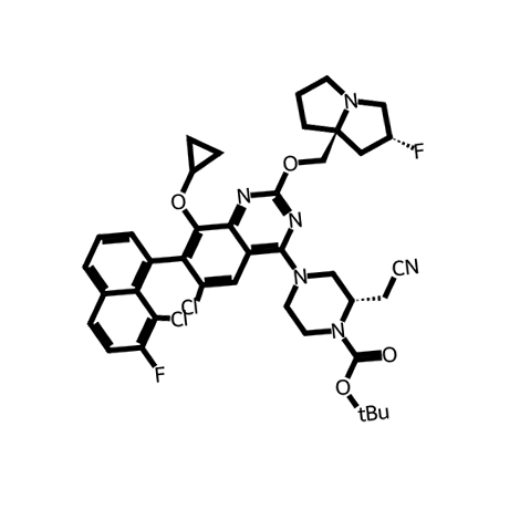 CC(C)(C)OC(=O)N1CCN(c2nc(OC[C@@]34CCCN3C[C@H](F)C4)nc3c(OC4CC4)c(-c4cccc5ccc(F)c(Cl)c45)c(Cl)cc23)C[C@@H]1CC#N